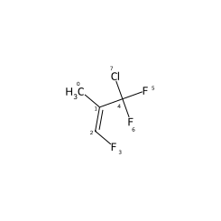 CC(=CF)C(F)(F)Cl